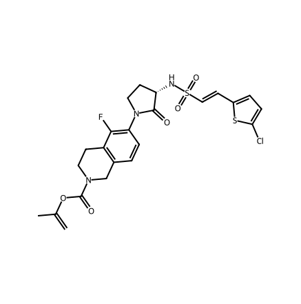 C=C(C)OC(=O)N1CCc2c(ccc(N3CC[C@H](NS(=O)(=O)/C=C/c4ccc(Cl)s4)C3=O)c2F)C1